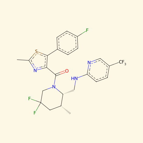 Cc1nc(C(=O)N2CC(F)(F)C[C@@H](C)[C@H]2CNc2ccc(C(F)(F)F)cn2)c(-c2ccc(F)cc2)s1